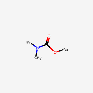 [CH2]N(C(=O)OC(C)(C)C)C(C)C